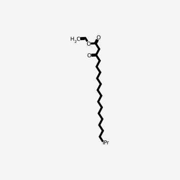 C=COC(=O)CC(=O)CCCCCCCCCCCCCCC(C)C